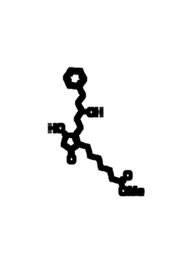 COC(=O)CCCCCCC1=C(CCC(O)CCc2ccccc2)C(O)CC1=O